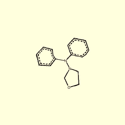 c1ccc(N(c2ccccc2)N2CCOC2)cc1